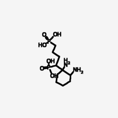 NC1CCCCC1(N)C(CCCP(=O)(O)O)P(=O)(O)O